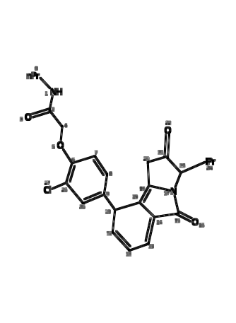 CCCNC(=O)COc1ccc(C2C=CC=C3C(=O)N4C(=C32)CC(=O)C4C(C)C)cc1Cl